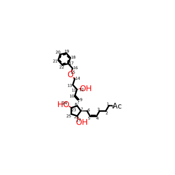 CC(=O)CCC/C=C\C[C@@H]1[C@@H](/C=C/[C@@H](O)CCOCc2ccccc2)[C@H](O)C[C@@H]1O